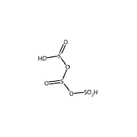 O=S(O)OS(=O)OS(=O)(=O)O